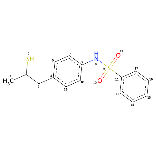 CC(S)Cc1ccc(NS(=O)(=O)c2ccccc2)cc1